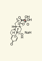 C[C@@H]1C[C@H]2[C@@H]3CCC4=CC(=O)C=C[C@]4(C)[C@@]3(F)[C@@H](O)C[C@]2(C)[C@@]1(OP(=O)(O)O)C(=O)CO.[NaH]